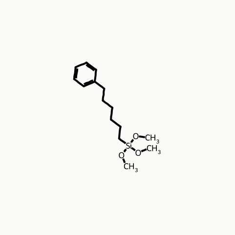 CO[Si](CCCCCCc1ccccc1)(OC)OC